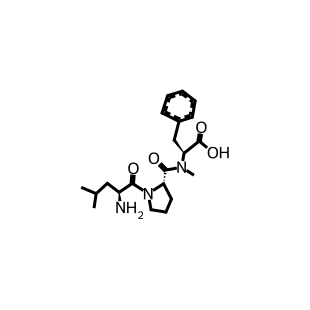 CC(C)C[C@H](N)C(=O)N1CCC[C@H]1C(=O)N(C)[C@@H](Cc1ccccc1)C(=O)O